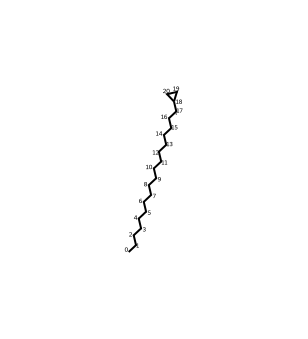 CCCCCCCCCCCCCCCCC[CH]C1CC1